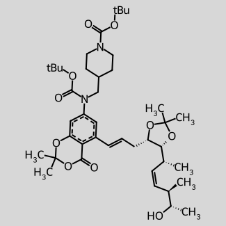 C[C@H](O)[C@H](C)/C=C\[C@@H](C)[C@H]1OC(C)(C)O[C@H]1C/C=C/c1cc(N(CC2CCN(C(=O)OC(C)(C)C)CC2)C(=O)OC(C)(C)C)cc2c1C(=O)OC(C)(C)O2